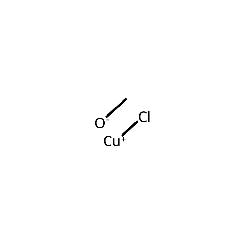 C[O-].[Cl][Cu+]